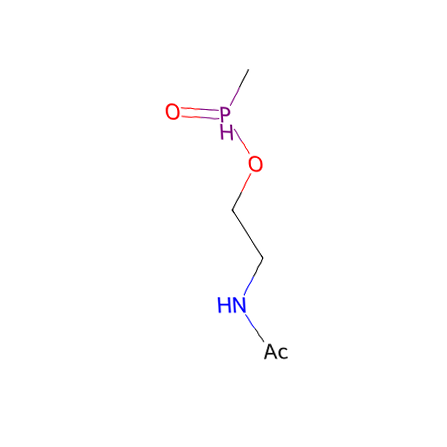 CC(=O)NCCO[PH](C)=O